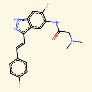 CN(C)CC(=O)Nc1cc2c(/C=C/c3ccc(F)cc3)n[nH]c2cc1F